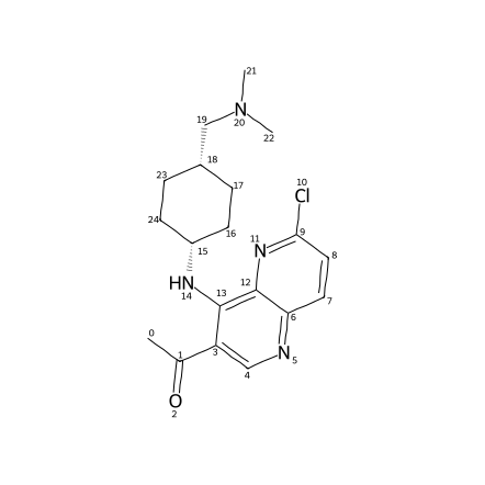 CC(=O)c1cnc2ccc(Cl)nc2c1N[C@H]1CC[C@@H](CN(C)C)CC1